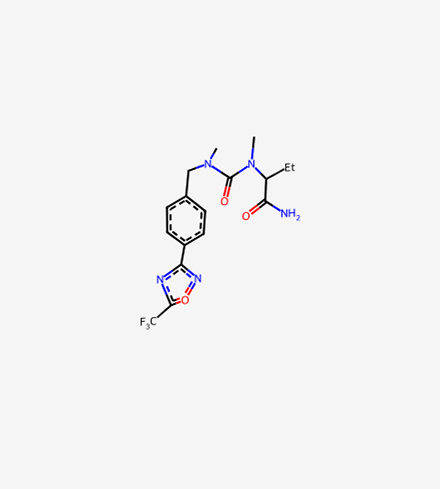 CCC(C(N)=O)N(C)C(=O)N(C)Cc1ccc(-c2noc(C(F)(F)F)n2)cc1